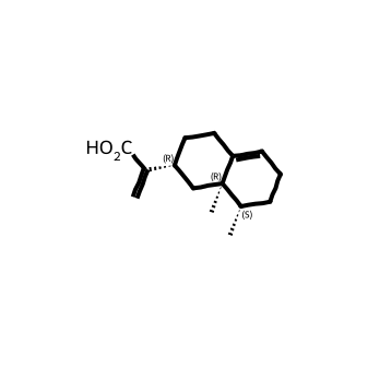 C=C(C(=O)O)[C@@H]1CCC2=CCC[C@H](C)[C@@]2(C)C1